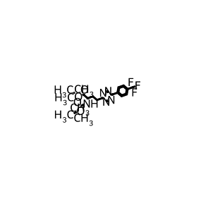 CC(C)(C)OC(=O)NC(CCc1nnc(-c2ccc(C(F)(F)F)cc2)nn1)C(=O)OC(C)(C)C